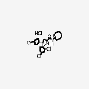 Cl.O=C(NN1CCCCCCC1)C1=NN(c2ccc(Cl)cc2Cl)[C@H](c2ccc(Cl)cc2)C1